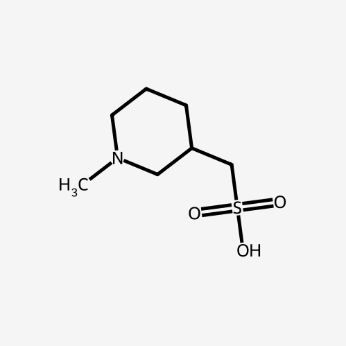 CN1CCCC(CS(=O)(=O)O)C1